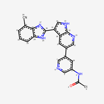 CCC(=O)Nc1cncc(-c2cnc3[nH]cc(-c4nc5c(C#N)cccc5[nH]4)c3c2)c1